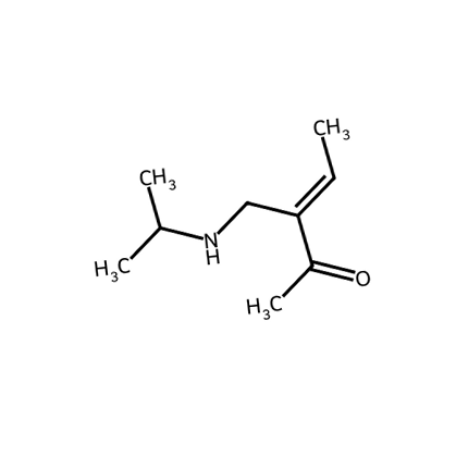 C/C=C(\CNC(C)C)C(C)=O